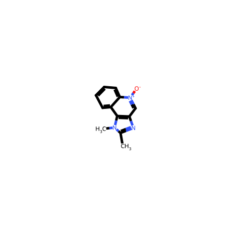 Cc1nc2c[n+]([O-])c3ccccc3c2n1C